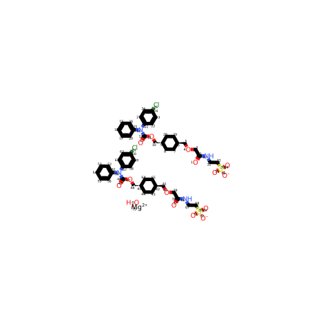 O.O=C(COC[C@H]1CC[C@H](COC(=O)N(c2ccccc2)c2ccc(Cl)cc2)CC1)NCCS(=O)(=O)[O-].O=C(COC[C@H]1CC[C@H](COC(=O)N(c2ccccc2)c2ccc(Cl)cc2)CC1)NCCS(=O)(=O)[O-].[Mg+2]